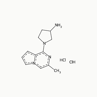 Cc1cn2cccc2c(N2CCC(N)C2)n1.Cl.Cl